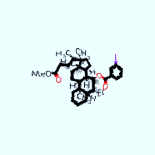 CC[C@H]1[C@@H](OC(=O)c2cccc(I)c2)[C@@H]2[C@H](CC[C@@]3(C)[C@H]2CC[C@]3(C)[C@H](C)CCC(=O)OC)[C@@]2(C)CCCC[C@@H]12